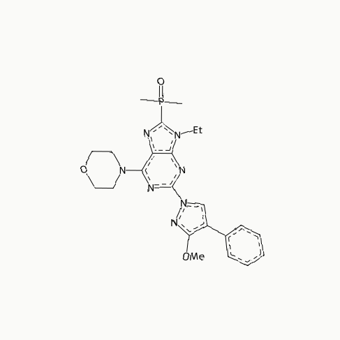 CCn1c(P(C)(C)=O)nc2c(N3CCOCC3)nc(-n3cc(-c4ccccc4)c(OC)n3)nc21